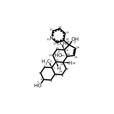 C[C@]12CCC(O)CC1CC[C@@H]1[C@H]2CC[C@]2(C)C(O)(c3cccnc3)C=C[C@@]12O